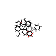 BrCc1ccccc1[C@@]1(P(c2ccccc2)c2ccccc2)CC=c2ccccc2=C1c1c(P(c2ccccc2)c2ccccc2)ccc2ccccc12